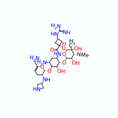 CN[C@@H]1[C@@H](O)[C@@H](O[C@H]2[C@H](NC(=O)C3(O)CC(NC(=N)N)C3)C[C@H](N)C(O[C@H]3OC(CN)=CC[C@H]3NC3CNC3)[C@@H]2O)OC[C@]1(C)O